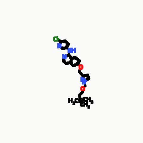 C[Si](C)(C)CCOCn1ccc(COc2ccc3c(Nc4ccc(Cl)nc4)nccc3c2)n1